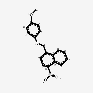 COc1ccc(SCc2ccc([N+](=O)[O-])c3ccccc23)cc1